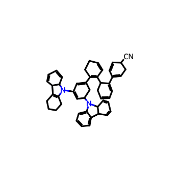 N#CC1C=CC(C2=CC=CCC2C2=C(C3=CC(N4C5=C(CCCC5)C5C=CC=CC54)=CC(N4c5ccccc5C5C=CC=CC54)C3)CCC=C2)=CC1